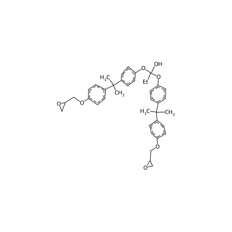 CCC(O)(Oc1ccc(C(C)(C)c2ccc(OCC3CO3)cc2)cc1)Oc1ccc(C(C)(C)c2ccc(OCC3CO3)cc2)cc1